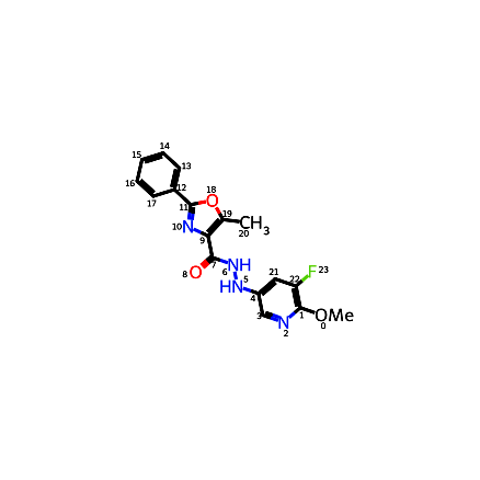 COc1ncc(NNC(=O)c2nc(-c3ccccc3)oc2C)cc1F